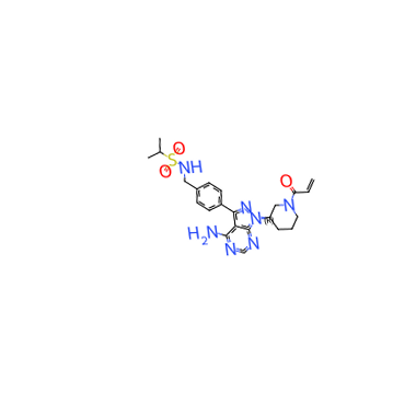 C=CC(=O)N1CCC[C@@H](n2nc(-c3ccc(CNS(=O)(=O)C(C)C)cc3)c3c(N)ncnc32)C1